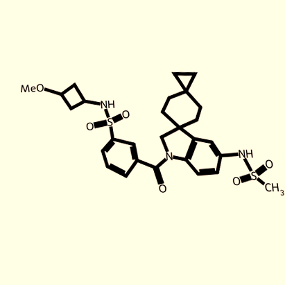 COC1CC(NS(=O)(=O)c2cccc(C(=O)N3CC4(CCC5(CC5)CC4)c4cc(NS(C)(=O)=O)ccc43)c2)C1